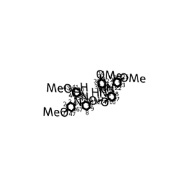 COc1ccc(Nc2cccc(OCCOc3cccc(Nc4ccc(OC)cc4)c3Nc3ccc(OC)cc3)c2Nc2ccc(OC)cc2)cc1